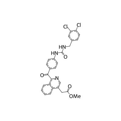 COC(=O)Cc1cnc(C(=O)c2ccc(NC(=O)NCc3ccc(Cl)c(Cl)c3)cc2)c2ccccc12